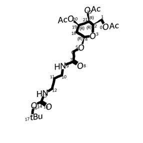 CC(=O)OC[C@H]1O[C@@H](OCC(=O)NCCCNC(=O)OC(C)(C)C)C[C@@H](OC(C)=O)[C@H]1OC(C)=O